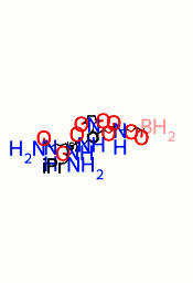 BC(=O)COCNC(=O)OCc1ccc(NC(=O)[C@H](CCCNC(N)=O)NC(=O)C(N)C(C)C)cc1N1C(=O)CCC1=O